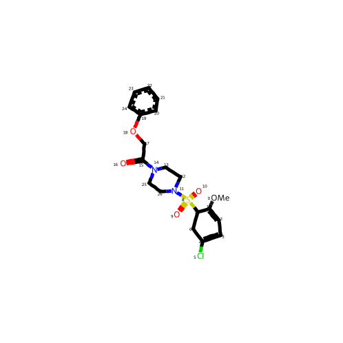 COC1=CC=C(Cl)CC1S(=O)(=O)N1CCN(C(=O)COc2ccccc2)CC1